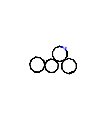 C1=C\CCCC2(CCCC/1)CCNCCCCC1(CCCCCC3(CCCCCCCCC3)CC1)C2